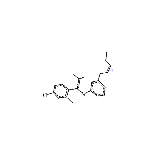 CC/C=C\Cc1cccc(SC(=C(C)C)c2ccc(Cl)cc2C)c1